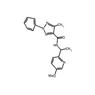 COc1ccc(C(C)NC(=O)c2nn(-c3ccccc3)nc2C)nc1